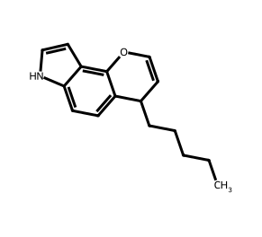 CCCCCC1C=COc2c1ccc1[nH]ccc21